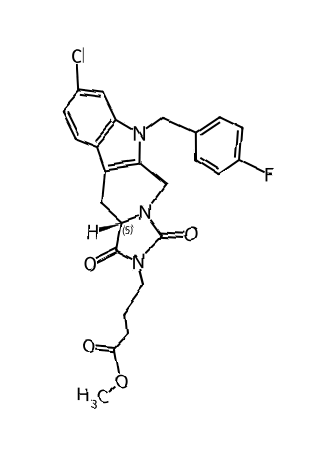 COC(=O)CCCN1C(=O)[C@@H]2Cc3c(n(Cc4ccc(F)cc4)c4cc(Cl)ccc34)CN2C1=O